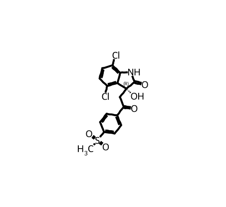 CS(=O)(=O)c1ccc(C(=O)C[C@]2(O)C(=O)Nc3c(Cl)ccc(Cl)c32)cc1